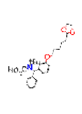 CC(C)(C)N(C(=O)O)C(c1ccccc1)c1cccc(OCCCCCC2OCCO2)c1